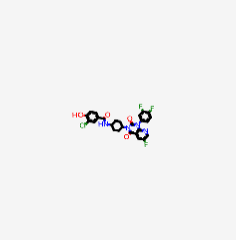 O=C(NC1CCC(n2c(=O)c3cc(F)cnc3n(-c3ccc(F)c(F)c3)c2=O)CC1)c1ccc(O)c(Cl)c1